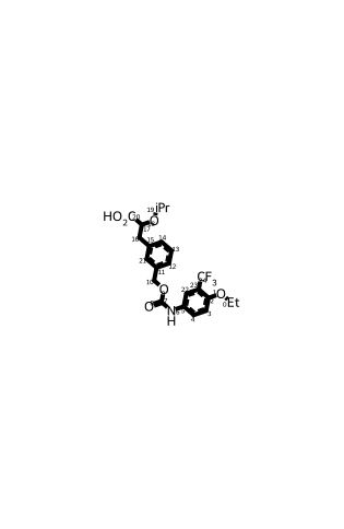 CCOc1ccc(NC(=O)OCc2cccc(CC(OC(C)C)C(=O)O)c2)cc1C(F)(F)F